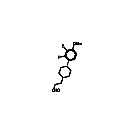 COc1ccc([C@H]2CC[C@H](CCC=O)CC2)c(F)c1F